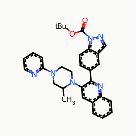 CC1CN(c2ccccn2)CCN1c1cc2ccccc2nc1-c1ccc2c(cnn2C(=O)OC(C)(C)C)c1